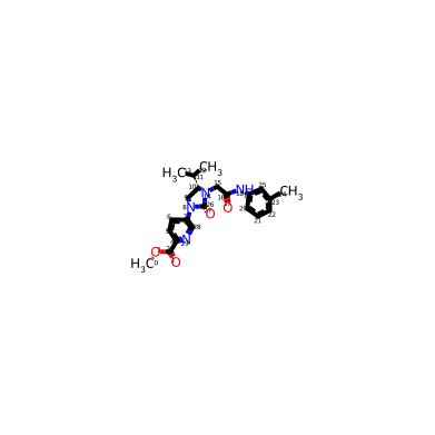 COC(=O)c1ccc(N2C[C@H](C(C)C)N(CC(=O)Nc3cccc(C)c3)C2=O)cn1